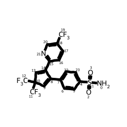 NS(=O)(=O)c1ccc(C2=CC(C(F)(F)F)(C(F)(F)F)C=C2c2ccc(C(F)(F)F)cn2)cc1